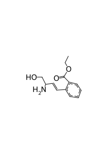 CCOC(=O)c1ccccc1C=CC(N)CO